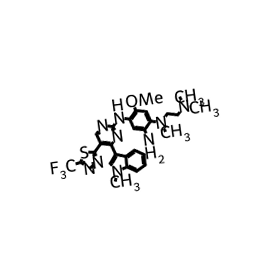 COc1cc(N(C)CCN(C)C)c(N)cc1Nc1ncc(-c2nnc(C(F)(F)F)s2)c(-c2cn(C)c3ccccc23)n1